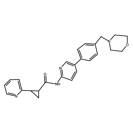 O=C(Nc1ccc(-c2ccc(CN3CCOCC3)cc2)cn1)C1CC1c1ccccn1